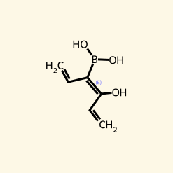 C=C/C(O)=C(\C=C)B(O)O